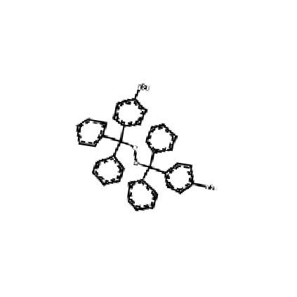 CCCCc1ccc(C(OOC(c2ccccc2)(c2ccccc2)c2ccc(CCCC)cc2)(c2ccccc2)c2ccccc2)cc1